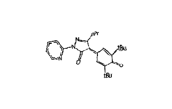 CCCC1=NN(c2ccccn2)C(=O)C1=C1C=C(C(C)(C)C)C(=O)C(C(C)(C)C)=C1